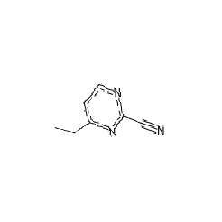 CCc1ccnc(C#N)n1